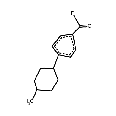 CC1CCC(c2ccc(C(=O)F)cc2)CC1